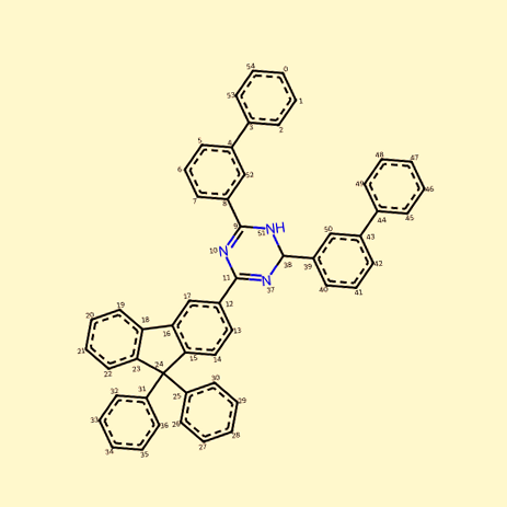 c1ccc(-c2cccc(C3=NC(c4ccc5c(c4)-c4ccccc4C5(c4ccccc4)c4ccccc4)=NC(c4cccc(-c5ccccc5)c4)N3)c2)cc1